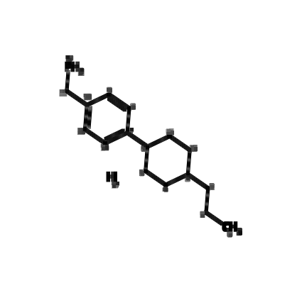 CCCC1CCC(c2ccc(CP)cc2)CC1.I